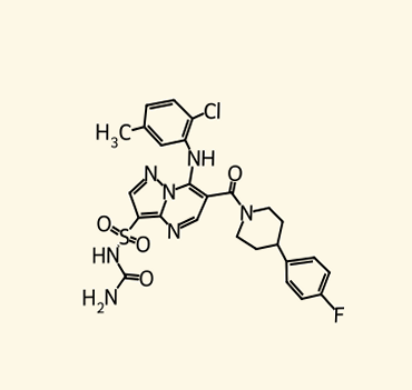 Cc1ccc(Cl)c(Nc2c(C(=O)N3CCC(c4ccc(F)cc4)CC3)cnc3c(S(=O)(=O)NC(N)=O)cnn23)c1